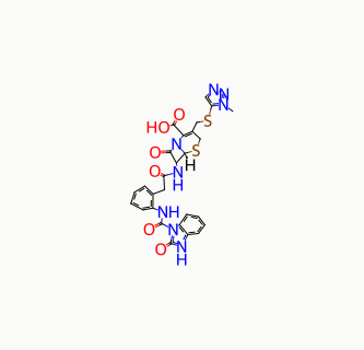 Cn1nncc1SCC1=C(C(=O)O)N2C(=O)C(NC(=O)Cc3ccccc3NC(=O)n3c(=O)[nH]c4ccccc43)[C@H]2SC1